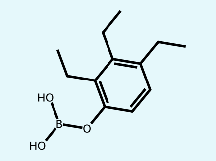 CCc1ccc(OB(O)O)c(CC)c1CC